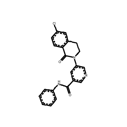 O=C(Nc1ccccc1)c1cncc(N2CCc3cc(Cl)ccc3C2=O)c1